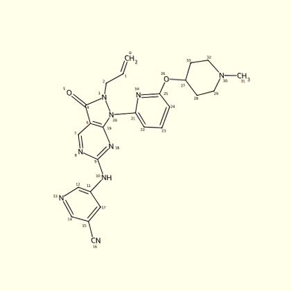 C=CCn1c(=O)c2cnc(Nc3cncc(C#N)c3)nc2n1-c1cccc(OC2CCN(C)CC2)n1